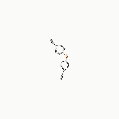 C#Cc1ccc(Sc2ccc(C#C)cc2)cc1